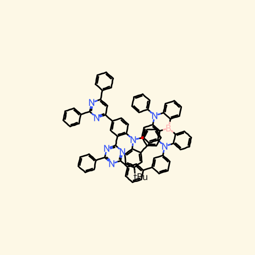 CC(C)(C)c1ccc2c(c1)c1ccccc1n2-c1ccc(-c2cc(-c3ccccc3)nc(-c3ccccc3)n2)cc1-c1nc(-c2ccccc2)nc(-c2cccc(-c3cccc(N4c5ccccc5B5c6ccccc6N(c6ccccc6)c6cccc4c65)c3)c2)n1